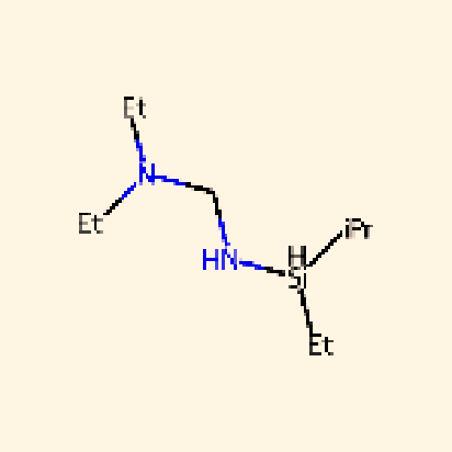 CCN(CC)CN[SiH](CC)C(C)C